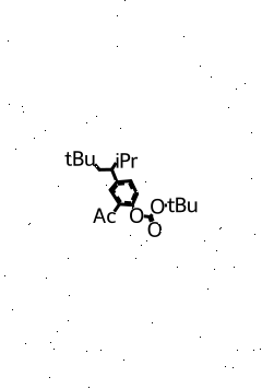 CC(=O)c1cc(C(CC(C)(C)C)C(C)C)ccc1OC(=O)OC(C)(C)C